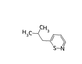 CC(C)CC1=CC=C=NS1